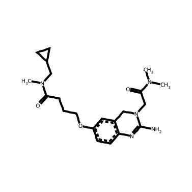 CN(C)C(=O)CN1Cc2cc(OCCCC(=O)N(C)CC3CC3)ccc2N=C1N